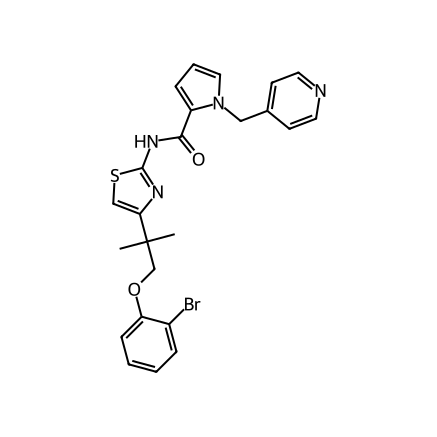 CC(C)(COc1ccccc1Br)c1csc(NC(=O)c2cccn2Cc2ccncc2)n1